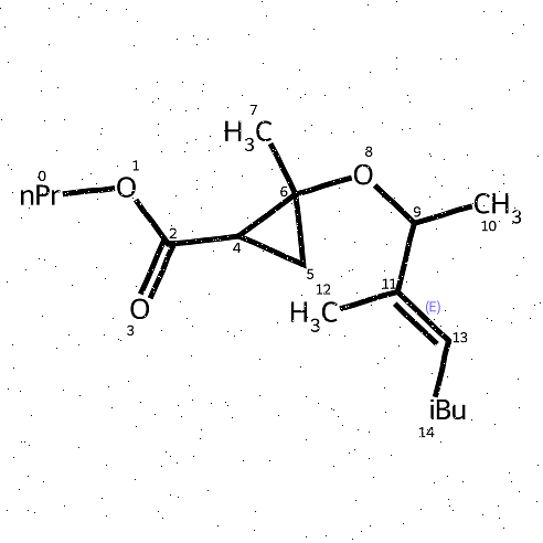 CCCOC(=O)C1CC1(C)OC(C)/C(C)=C/C(C)CC